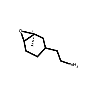 [SiH3]CCC1CCC2O[C@H]2C1